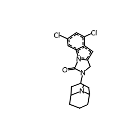 CN1C2CCCC1CC(N1Cc3cc4c(Cl)cc(Cl)cc4n3C1=O)C2